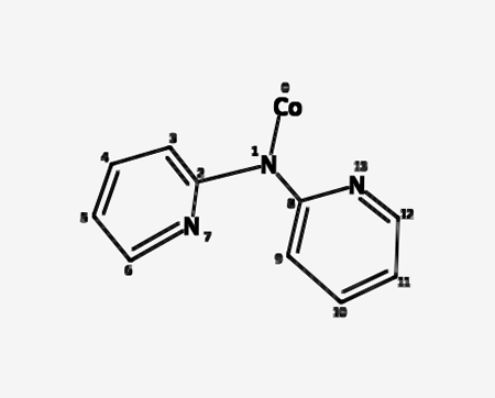 [Co][N](c1ccccn1)c1ccccn1